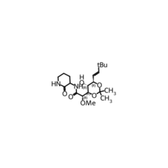 CO[C@@H](C(=O)NC1CCCNC1=O)[C@@H]1OC(C)(C)O[C@H](C=CC(C)(C)C)[C@H]1O